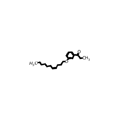 CCCCCC/C=C\CCCOc1cccc(C(=O)CC)c1